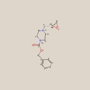 O=C(OCc1ccccc1)N1CCN(C[C@@H]2CO2)CC1